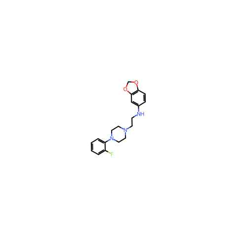 Fc1ccccc1N1CCN(CCNc2ccc3c(c2)OCO3)CC1